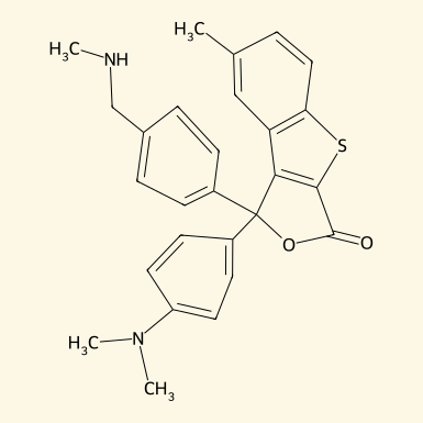 CNCc1ccc(C2(c3ccc(N(C)C)cc3)OC(=O)c3sc4ccc(C)cc4c32)cc1